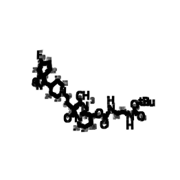 Cc1nc2n(c(=O)c1CCN1CCC(c3noc4cc(F)ccc34)CC1)CCCC2OC(=O)NCCNC(=O)OC(C)(C)C